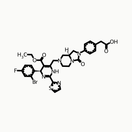 CCOC(=O)C1=C(CN2CCN3C(=O)N(c4ccc(CC(=O)O)cc4)C[C@@H]3C2)NC(c2nccs2)=N[C@H]1c1ccc(F)cc1Br